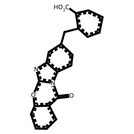 O=C(O)c1ccccc1Cc1ccc2c(c1)nc1oc3ccccc3c(=O)n12